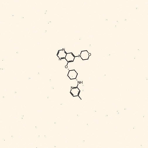 Cc1ccnc(N[C@H]2CC[C@@H](Oc3cc(N4CCOCC4)cc4nccnc34)CC2)c1